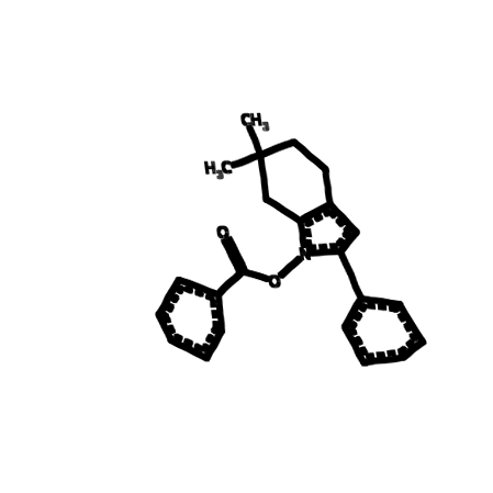 CC1(C)CCc2cc(-c3ccccc3)n(OC(=O)c3ccccc3)c2C1